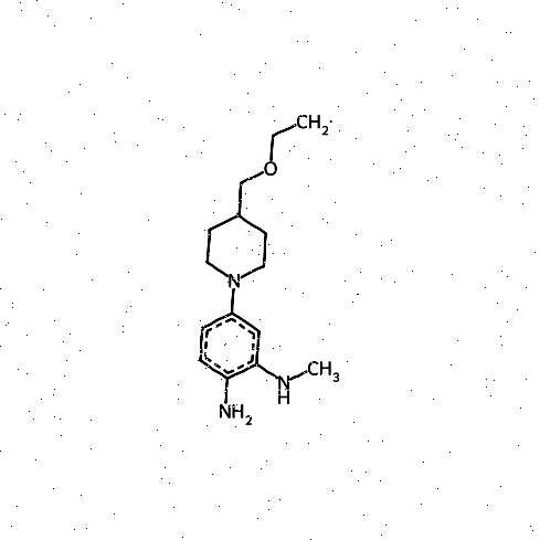 [CH2]COCC1CCN(c2ccc(N)c(NC)c2)CC1